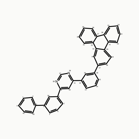 c1ccc(-c2cccc(-c3cc(-c4cccc(-c5ccc6c7ccccc7c7ccccc7c6c5)c4)ncn3)c2)cc1